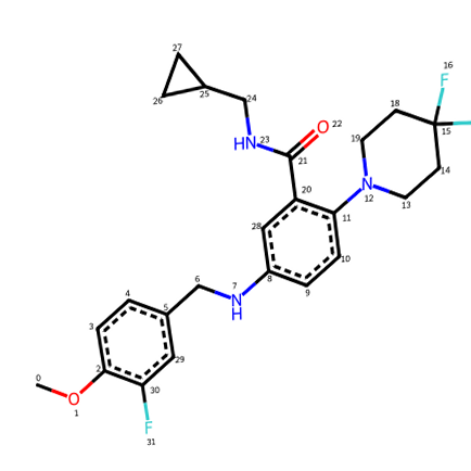 COc1ccc(CNc2ccc(N3CCC(F)(F)CC3)c(C(=O)NCC3CC3)c2)cc1F